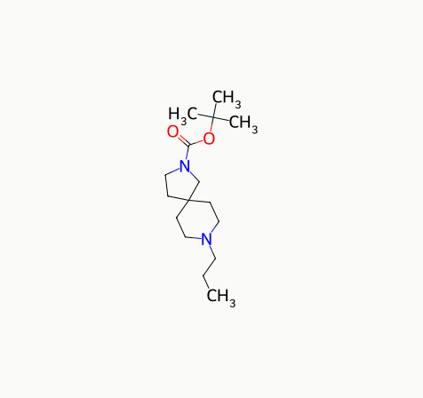 CCCN1CCC2(CC1)CCN(C(=O)OC(C)(C)C)C2